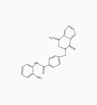 C=C1CN(Cc2ccc(C(=O)Nc3ccccc3N)cc2)C(=O)c2ccccc21